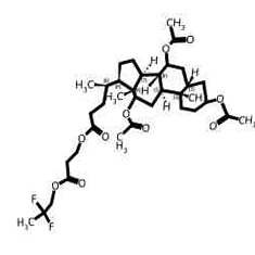 CC(=O)OC1CC[C@@]2(C)[C@@H](C1)CC(OC(C)=O)[C@@H]1[C@@H]2CC(OC(C)=O)[C@]2(C)[C@@H]([C@H](C)CCC(=O)OCCC(=O)OCC(C)(F)F)CC[C@@H]12